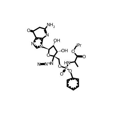 CC(C)OC(=O)C(C)NP(=O)(OC[C@@]1(N=[N+]=[N-])O[C@@H](n2cnc3c2N=C(N)CC3=O)[C@H](O)[C@@H]1O)Oc1ccccc1